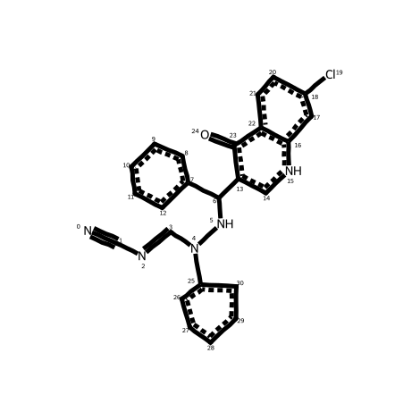 N#CN=CN(NC(c1ccccc1)c1c[nH]c2cc(Cl)ccc2c1=O)c1ccccc1